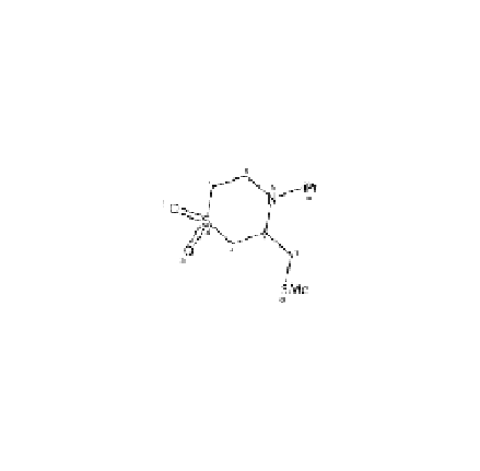 CSCC1CS(=O)(=O)CCN1C(C)C